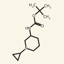 CC(C)(C)OC(=O)NC1CCCN(C2CC2)C1